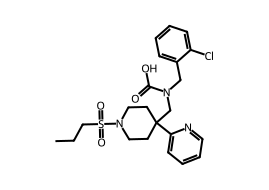 CCCS(=O)(=O)N1CCC(CN(Cc2ccccc2Cl)C(=O)O)(c2ccccn2)CC1